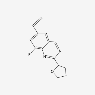 C=Cc1cc(F)c2nc(C3CCCO3)ncc2c1